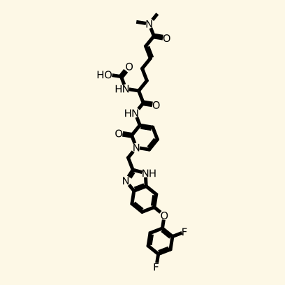 CN(C)C(=O)C=CCCC(NC(=O)O)C(=O)Nc1cccn(Cc2nc3ccc(Oc4ccc(F)cc4F)cc3[nH]2)c1=O